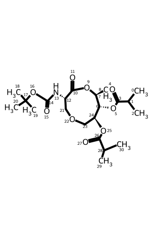 CC(C)C(=O)O[C@H]1[C@H](C)OC(=O)[C@@H](NC(=O)OC(C)(C)C)COC[C@@H]1OC(=O)C(C)C